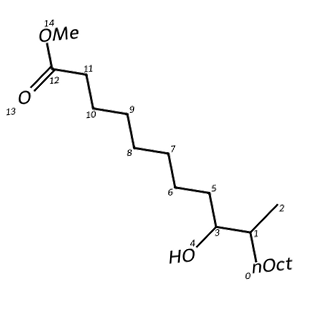 CCCCCCCCC(C)C(O)CCCCCCCC(=O)OC